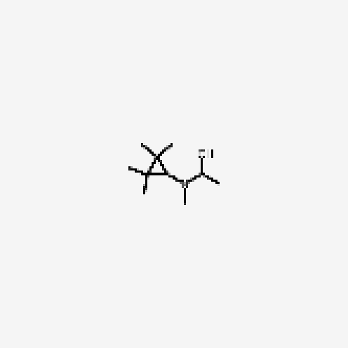 CC(O)N(C)C1C(C)(C)C1(C)C